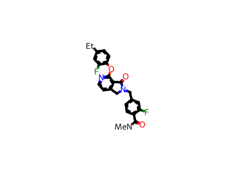 CCc1ccc(Oc2nccc3c2C(=O)N(Cc2ccc(C(=O)NC)c(F)c2)C3)c(F)c1